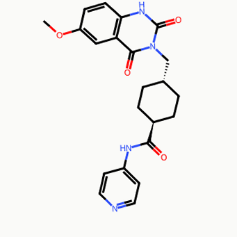 COc1ccc2[nH]c(=O)n(C[C@H]3CC[C@H](C(=O)Nc4ccncc4)CC3)c(=O)c2c1